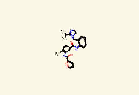 Cc1ccc(C(=O)Nc2ccccc2CN2CCN=C2C(C)C)cc1NC(=O)c1ccco1